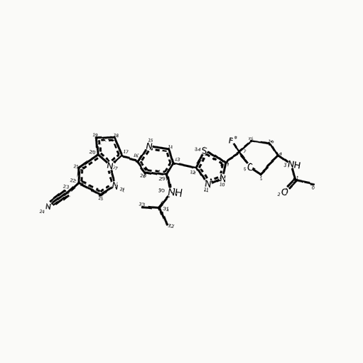 CC(=O)NC1CCC(F)(c2nnc(-c3cnc(-c4ccc5cc(C#N)cnn45)cc3NC(C)C)s2)CC1